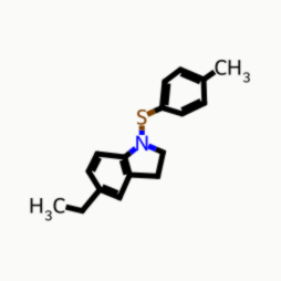 CCc1ccc2c(c1)CCN2Sc1ccc(C)cc1